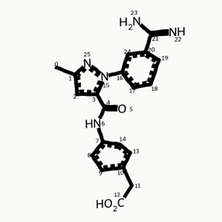 Cc1cc(C(=O)Nc2ccc(CC(=O)O)cc2)n(-c2cccc(C(=N)N)c2)n1